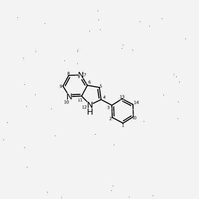 [c]1ccc(-c2cc3nccnc3[nH]2)cc1